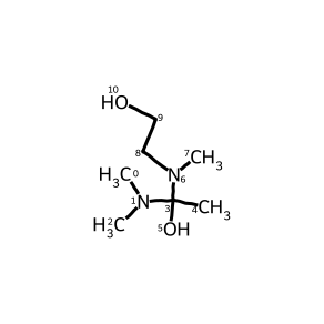 CN(C)C(C)(O)N(C)CCO